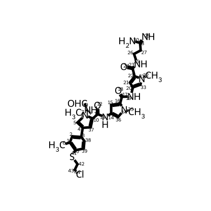 Cc1cc(C2=C[N+](C)(NC=O)C(C(=O)Nc3cc(C(=O)Nc4cc(C(=O)NCCC(=N)N)n(C)c4)n(C)c3)=C2)ccc1SCCCl